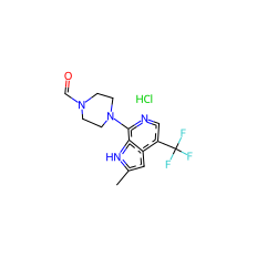 Cc1cc2c(C(F)(F)F)cnc(N3CCN(C=O)CC3)c2[nH]1.Cl